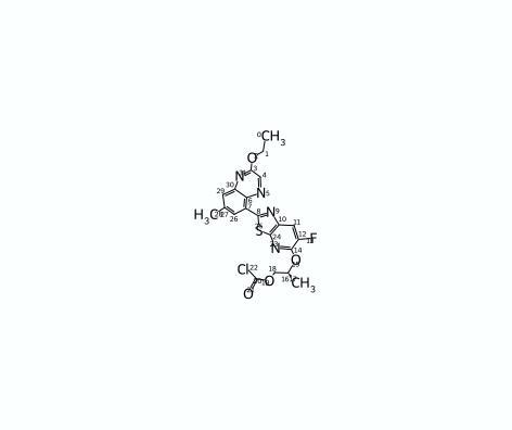 CCOc1cnc2c(-c3nc4cc(F)c(O[C@@H](C)COC(=O)Cl)nc4s3)cc(C)cc2n1